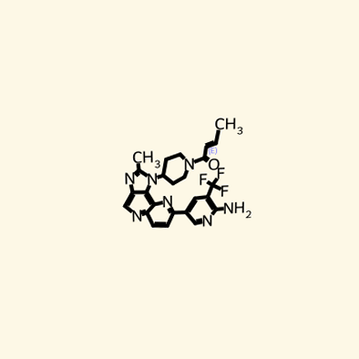 C/C=C/C(=O)N1CCC(n2c(C)nc3cnc4ccc(-c5cnc(N)c(C(F)(F)F)c5)nc4c32)CC1